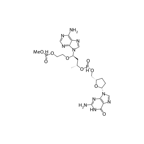 CO[PH](=O)OCCO[C@H](C[C@@H](C)O[PH](=O)OC[C@@H]1CC[C@H](n2cnc3c(=O)[nH]c(N)nc32)O1)n1cnc2c(N)ncnc21